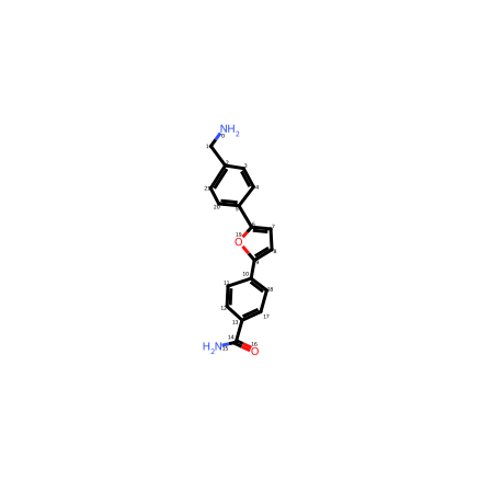 NCc1ccc(-c2ccc(-c3ccc(C(N)=O)cc3)o2)cc1